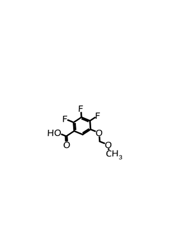 COCOc1cc(C(=O)O)c(F)c(F)c1F